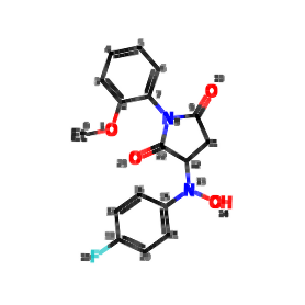 CCOc1ccccc1N1C(=O)CC(N(O)c2ccc(F)cc2)C1=O